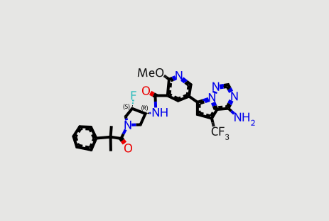 COc1ncc(-c2cc(C(F)(F)F)c3c(N)ncnn23)cc1C(=O)N[C@@H]1CN(C(=O)C(C)(C)c2ccccc2)C[C@@H]1F